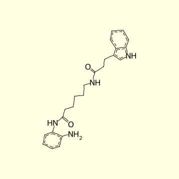 Nc1ccccc1NC(=O)CCCCCNC(=O)CCc1c[nH]c2ccccc12